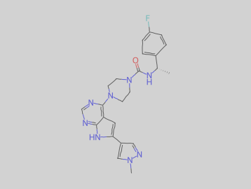 C[C@H](NC(=O)N1CCN(c2ncnc3[nH]c(-c4cnn(C)c4)cc23)CC1)c1ccc(F)cc1